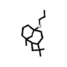 CCCOC12CCCC(C)(C1)C1CC(C)(C)C1CC2